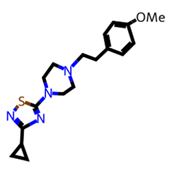 COc1ccc(CCN2CCN(c3nc(C4CC4)ns3)CC2)cc1